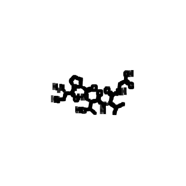 CC(C)[C@H](NC(=O)[C@@H](NC(=O)[C@@H]1CCCN1C(=O)[C@@H](N)CS)[C@@H](C)O)C(=O)NCC(=O)O